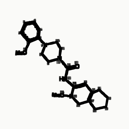 COc1ccccc1N1CCN(C(=O)NC2=CC3=C(CCCC3)CN2OC)CC1